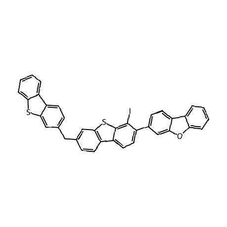 Ic1c(-c2ccc3c(c2)oc2ccccc23)ccc2c1sc1cc(Cc3ccc4c(c3)sc3ccccc34)ccc12